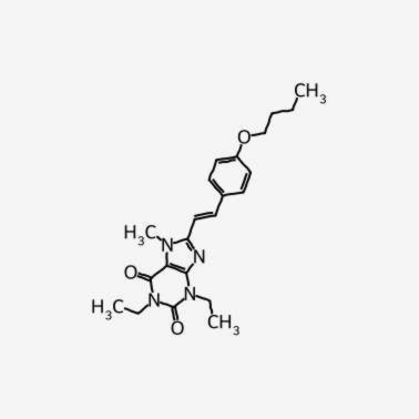 CCCCOc1ccc(/C=C/c2nc3c(c(=O)n(CC)c(=O)n3CC)n2C)cc1